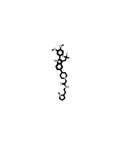 COc1ccc(-c2[nH]c3ccc(C4CCN(CC(=O)NCCC5CCCN5C)CC4)cc3c2CC(F)(F)F)cc1OC